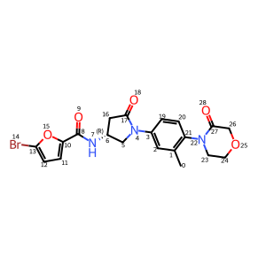 Cc1cc(N2C[C@H](NC(=O)c3ccc(Br)o3)CC2=O)ccc1N1CCOCC1=O